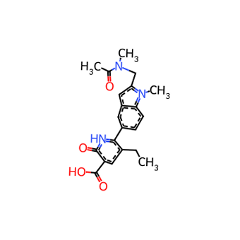 CCc1cc(C(=O)O)c(=O)[nH]c1-c1ccc2c(c1)cc(CN(C)C(C)=O)n2C